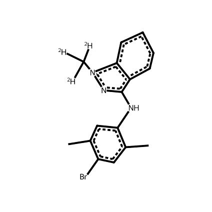 [2H]C([2H])([2H])n1nc(Nc2cc(C)c(Br)cc2C)c2ccccc21